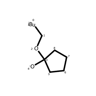 CCC(C)COC1([O])CCCC1